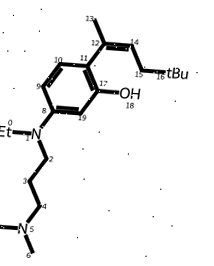 CCN(CCCN(C)C)c1ccc(/C(C)=C\CC(C)(C)C)c(O)c1